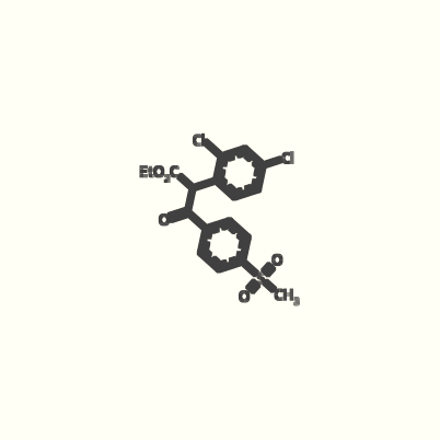 CCOC(=O)C(C(=O)c1ccc(S(C)(=O)=O)cc1)c1ccc(Cl)cc1Cl